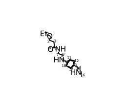 CCOCCC(=O)NCCNc1ccc(CNI)cc1